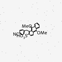 COc1c2ccccc2c(OC)c2c(Cc3ccc(C#N)cc3)c(S(=O)(=O)O)ccc12